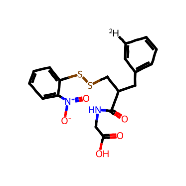 [2H]c1cccc(CC(CSSc2ccccc2[N+](=O)[O-])C(=O)NCC(=O)O)c1